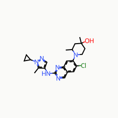 Cc1c(Nc2ncc3cc(Cl)c(N4CCC(C)(O)CC4C)cc3n2)cnn1C1CC1